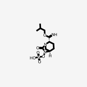 CC(C)COC(=N)[C@@H]1CC[C@@H]2CN1C(=O)N2OS(=O)(=O)O